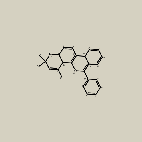 CC1=CC(C)(C)NC2C=CC3=C(OC(c4ccccc4)=C4C=CC=CC43)C12